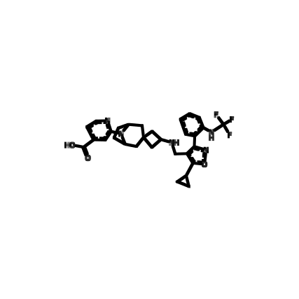 O=C(O)c1ccnc(N2C3CCC2CC2(CC(NCc4c(-c5ccccc5NC(F)(F)F)noc4C4CC4)C2)C3)c1